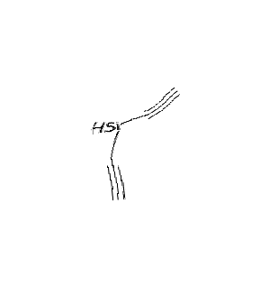 C#C[SiH]C#C